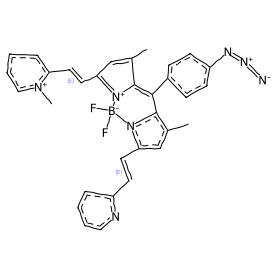 CC1=CC(/C=C/c2cccc[n+]2C)=[N+]2C1=C(c1ccc(N=[N+]=[N-])cc1)c1c(C)cc(/C=C/c3ccccn3)n1[B-]2(F)F